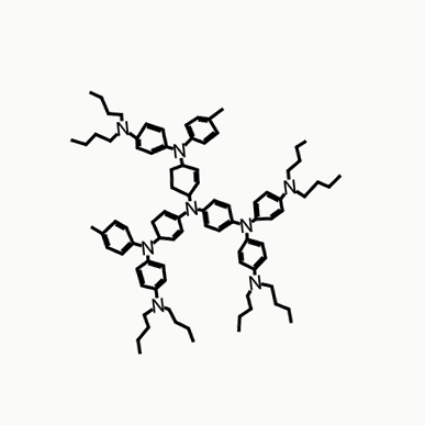 CCCCN(CCCC)c1ccc(N(c2ccc(N(CCCC)CCCC)cc2)c2ccc(N(C3=CCC(N(c4ccc(C)cc4)c4ccc(N(CCCC)CCCC)cc4)C=C3)C3C=CC(N(c4ccc(C)cc4)c4ccc(N(CCCC)CCCC)cc4)CC3)cc2)cc1